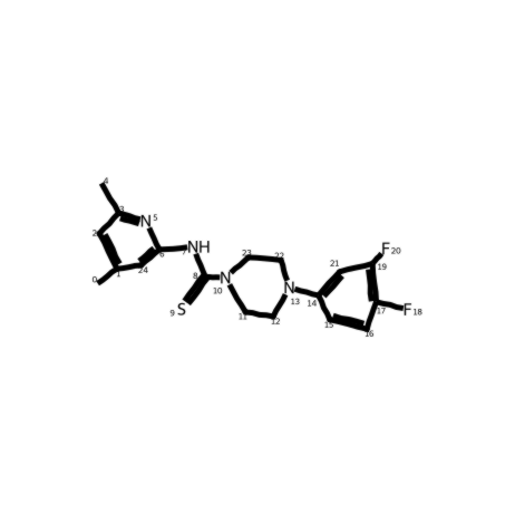 Cc1cc(C)nc(NC(=S)N2CCN(c3ccc(F)c(F)c3)CC2)c1